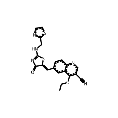 CCOc1c(C#N)cnc2ccc(/C=C3\SC(NCc4nccs4)=NC3=O)cc12